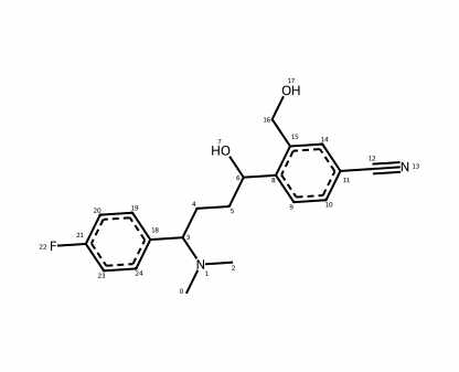 CN(C)C(CCC(O)c1ccc(C#N)cc1CO)c1ccc(F)cc1